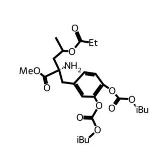 CCC(=O)OC(C)C[C@@](N)(Cc1ccc(OC(=O)O[C@@H](C)CC)c(OC(=O)OC(C)CC)c1)C(=O)OC